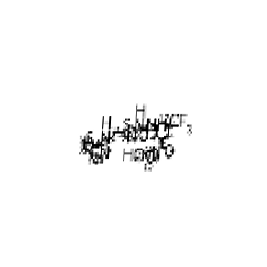 O=C(Nc1cc(C(=O)N2CC[C@@H](O)C2)cc(C(F)(F)F)c1)Nc1ncc(CCNc2ncnc3ccsc23)s1